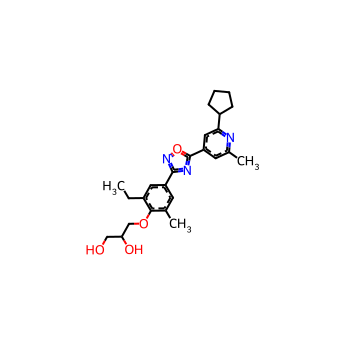 CCc1cc(-c2noc(-c3cc(C)nc(C4CCCC4)c3)n2)cc(C)c1OCC(O)CO